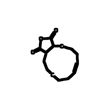 O=C1OC(=O)C2CCCCCC=CCCCC12